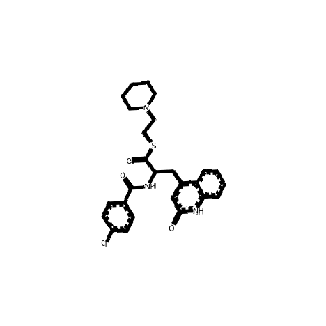 O=C(NC(Cc1cc(=O)[nH]c2ccccc12)C(=O)SCCN1CCCCC1)c1ccc(Cl)cc1